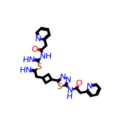 N=C(CC1CC(c2nnc(NC(=O)Cc3ccccn3)s2)C1)SC(=N)NC(=O)Cc1ccccn1